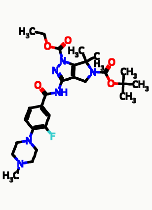 CCOC(=O)n1nc(NC(=O)c2ccc(N3CCN(C)CC3)c(F)c2)c2c1C(C)(C)N(C(=O)OC(C)(C)C)C2